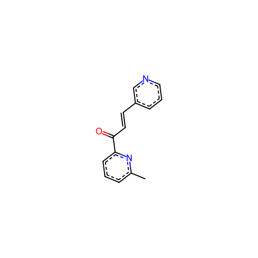 Cc1cccc(C(=O)C=Cc2cccnc2)n1